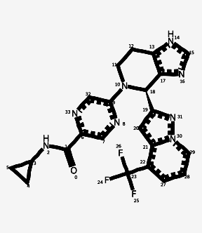 O=C(NC1CC1)c1cnc(N2CCc3[nH]cnc3[C@H]2c2cc3c(C(F)(F)F)cccn3n2)cn1